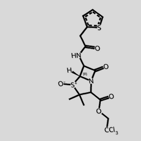 CC1(C)C(C(=O)OCC(Cl)(Cl)Cl)N2C(=O)C(NC(=O)Cc3cccs3)[C@H]2[S+]1[O-]